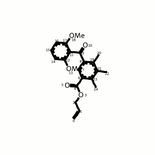 C=CCOC(=O)c1cc(C(=O)c2c(OC)cccc2OC)c(C)c(C)c1C